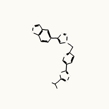 FC(F)c1nnc(-c2ccc(Cn3cc(-c4ccc5[nH]ncc5c4)nn3)nc2)o1